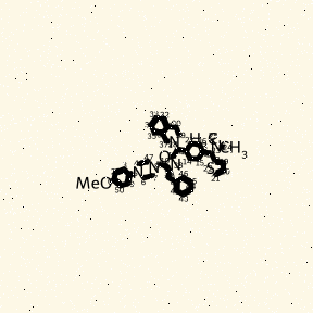 COc1ccc(N2CCN(c3oc(C(C4CCC(C(c5cccs5)N(C)C)CC4)N4CCc5ccccc5C4)nc3Cc3ccccc3)CC2)cc1